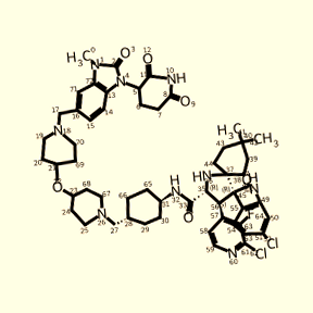 Cn1c(=O)n(C2CCC(=O)NC2=O)c2ccc(CN3CCC(OC4CCN(C[C@H]5CC[C@H](NC(=O)[C@@H]6NC7(CCC(C)(C)CC7)[C@@]7(C(=O)Nc8cc(Cl)ccc87)[C@H]6c6ccnc(Cl)c6F)CC5)CC4)CC3)cc21